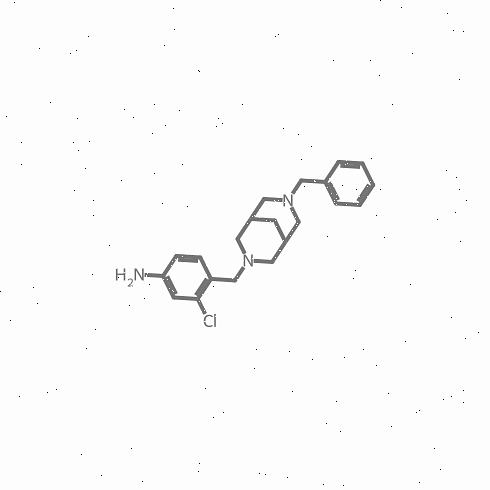 Nc1ccc(CN2CC3CC(CN(Cc4ccccc4)C3)C2)c(Cl)c1